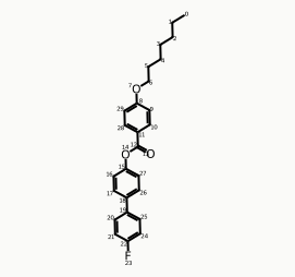 CCCCCCCOc1ccc(C(=O)Oc2ccc(-c3ccc(F)cc3)cc2)cc1